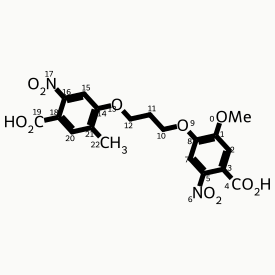 COc1cc(C(=O)O)c([N+](=O)[O-])cc1OCCCOc1cc([N+](=O)[O-])c(C(=O)O)cc1C